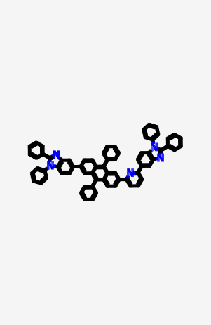 c1ccc(-c2c3ccc(-c4cccc(-c5ccc6c(c5)nc(-c5ccccc5)n6-c5ccccc5)n4)cc3c(-c3ccccc3)c3ccc(-c4ccc5c(c4)nc(-c4ccccc4)n5-c4ccccc4)cc23)cc1